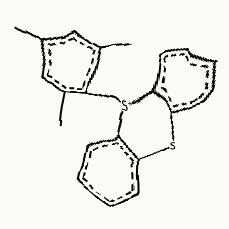 Cc1cc(C)c([S+]2c3ccccc3Sc3ccccc32)c(C)c1